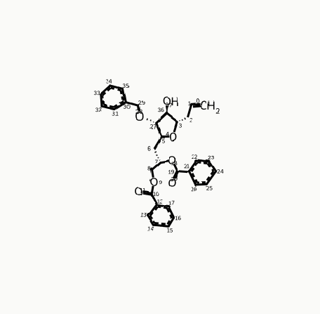 C=CC[C@@H]1OC(C[C@@H](COC(=O)c2ccccc2)OC(=O)c2ccccc2)[C@H](OCc2ccccc2)[C@H]1O